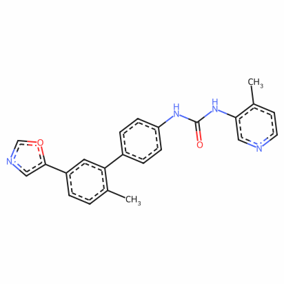 Cc1ccncc1NC(=O)Nc1ccc(-c2cc(-c3cnco3)ccc2C)cc1